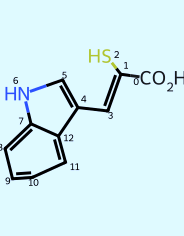 O=C(O)/C(S)=C/c1c[nH]c2ccccc12